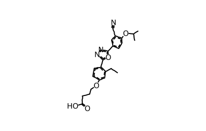 CCc1cc(OCCCC(=O)O)ccc1-c1nnc(-c2ccc(OC(C)C)c(C#N)c2)o1